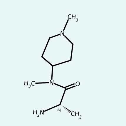 C[C@H](N)C(=O)N(C)C1CCN(C)CC1